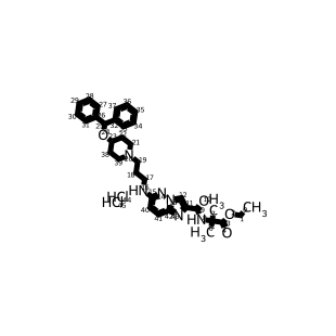 CCOC(=O)C(C)(C)NC(=O)c1cn2nc(NCCCN3CCC(OC(c4ccccc4)c4ccccc4)CC3)ccc2n1.Cl.Cl